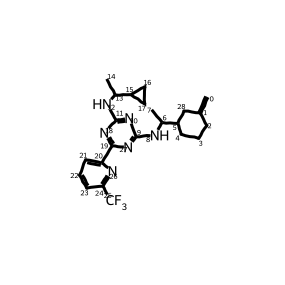 C=C1CCCC(C(C)Nc2nc(NC(C)C3CC3)nc(-c3cccc(C(F)(F)F)n3)n2)C1